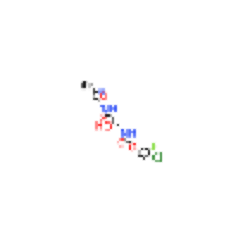 CC(C)c1cc(CNC(=O)CC(O)CCNC(=O)COc2ccc(Cl)c(F)c2)on1